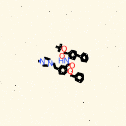 CN1CCN(CCc2ccc(OCc3ccccc3)c(C(=O)Nc3cc(-c4ccccc4)ccc3C(=O)OC(C)(C)C)c2)CC1